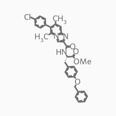 COC(=O)[C@H](Cc1ccc(OCc2ccccc2)cc1)NC(=O)c1cn2c(C)c(-c3ccc(Cl)cc3)c(C)cc2n1